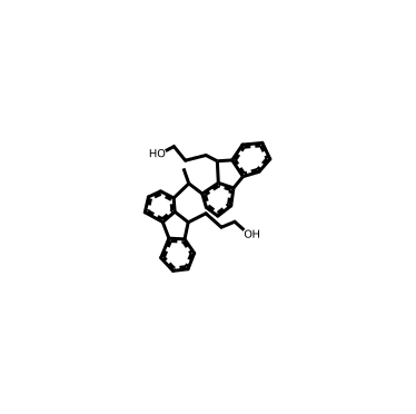 CC(c1cccc2c1C(CCCO)c1ccccc1-2)c1cccc2c1C(CCCO)c1ccccc1-2